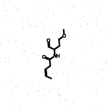 C/C=C\CC(=O)NC(C=O)CCOC